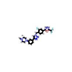 C[C@@H]1CN(c2cccc(-c3cn(Cc4ccc(-c5nnc(C(F)F)o5)cc4F)nn3)c2)CCN1C